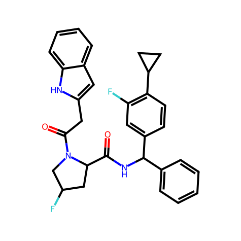 O=C(NC(c1ccccc1)c1ccc(C2CC2)c(F)c1)C1CC(F)CN1C(=O)Cc1cc2ccccc2[nH]1